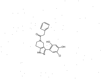 O=C(Cc1ccccc1)N1CCc2[nH]nc(-c3cc(Cl)c(O)cc3O)c2C1